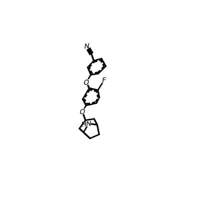 N#Cc1cccc(Oc2cc(OC3CC4CCC(C3)N4)ccc2F)c1